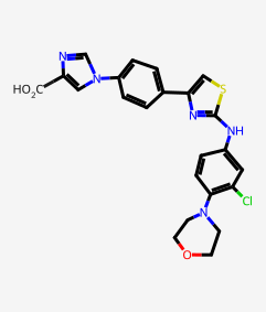 O=C(O)c1cn(-c2ccc(-c3csc(Nc4ccc(N5CCOCC5)c(Cl)c4)n3)cc2)cn1